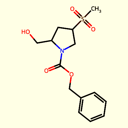 CS(=O)(=O)C1CC(CO)N(C(=O)OCc2ccccc2)C1